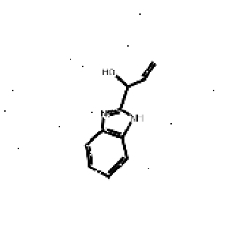 C=CC(O)c1nc2[c]cccc2[nH]1